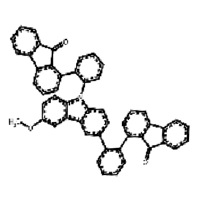 COc1ccc2c(c1)c1cc(-c3ccccc3-c3cccc4c3C(=O)c3ccccc3-4)ccc1n2-c1ccccc1-c1cccc2c1C(=O)c1ccccc1-2